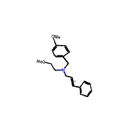 COCCN(C/C=C/c1ccccc1)Cc1ccc(OC)cc1